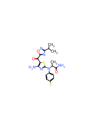 CC(C)c1noc(C(=O)c2sc(N(c3ccc(F)cc3)C(C)C(N)=O)nc2N)n1